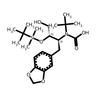 CC(C)(C)N(C(=O)O)[C@@H](Cc1ccc2c(c1)OCO2)[C@@H](CO)O[Si](C)(C)C(C)(C)C